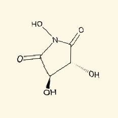 O=C1[C@H](O)[C@@H](O)C(=O)N1O